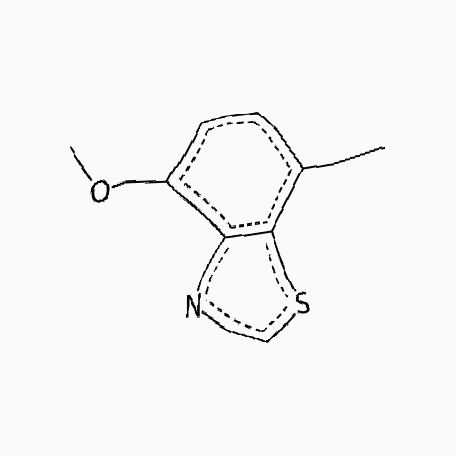 COc1ccc(C)c2scnc12